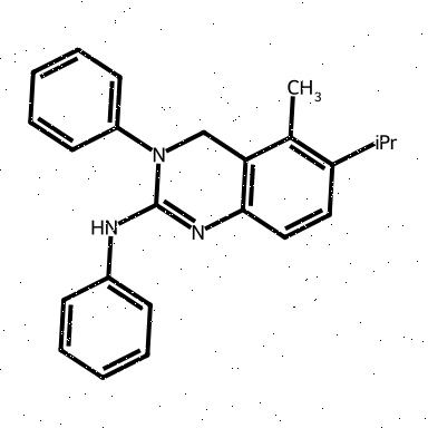 Cc1c(C(C)C)ccc2c1CN(c1ccccc1)C(Nc1ccccc1)=N2